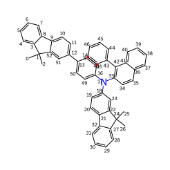 CC1(C)c2ccccc2-c2ccc(-c3ccc(N(c4ccc5c(c4)C(C)(C)c4ccccc4-5)c4ccc5ccccc5c4-c4ccccc4)cc3)cc21